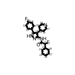 O=C(Nc1n[nH]c(-c2ccc(F)cc2)c1-c1ccncc1)C(F)c1ccccc1